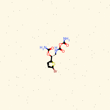 NC(=O)OC(=O)NC[C@@H](OC(N)=O)c1ccc(Br)s1